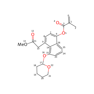 C=C(C)C(=O)Oc1ccc(CC(=O)OC)c2c(OC3CCCCO3)cccc12